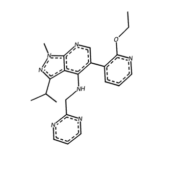 CCOc1ncccc1-c1cnc2c(c(C(C)C)nn2C)c1NCc1ncccn1